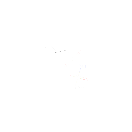 C=CCS(=O)(=O)NS(=O)(=O)CCCCC